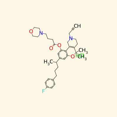 C#CCN1CCC2=C(C1)c1c(OC(=O)CCCN3CCOCC3)cc(C(C)CCCc3ccc(F)cc3)cc1OC2(C)C.Cl